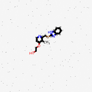 Cc1c(OCCO)ccnc1CSc1nc2ccccc2[nH]1